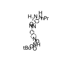 CCCNc1ccc(-c2nc(-c3ccc4c(c3)CCN(C(=O)CNC(=O)OC(C)(C)C)CC4)no2)cc1N